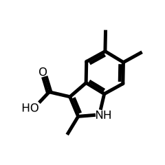 Cc1cc2[nH]c(C)c(C(=O)O)c2cc1C